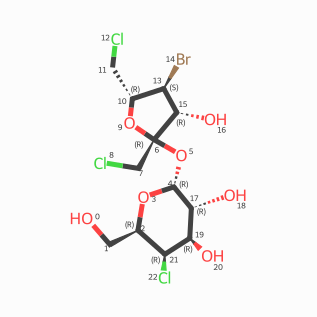 OC[C@H]1O[C@H](O[C@]2(CCl)O[C@H](CCl)[C@@H](Br)[C@@H]2O)[C@H](O)[C@@H](O)[C@H]1Cl